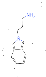 NCCCn1cc2ccccc2c1